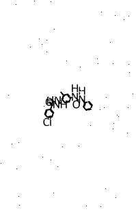 Cc1cc(NC(=O)Nc2ccccc2)ccc1NNC(=O)c1ccc(Cl)cc1